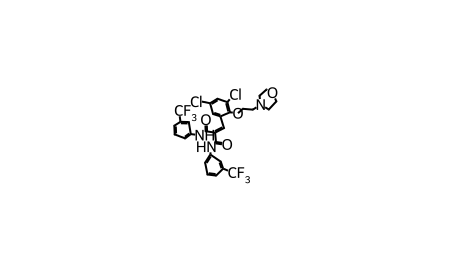 O=C(Nc1cccc(C(F)(F)F)c1)C(=Cc1cc(Cl)cc(Cl)c1OCCN1CCOCC1)C(=O)Nc1cccc(C(F)(F)F)c1